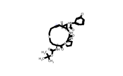 CC(C)(C)OC(=O)N[C@H]1CCCCC/C=C\[C@@H]2C[C@@]2(C(=O)Nc2cccc(Cl)c2)NC(=O)[C@@H]2CCCN2C1=O